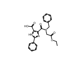 CCOC(=O)CN(Cc1ccccc1)C(=O)c1nc(-c2ccccc2)[nH]c1C(=O)O